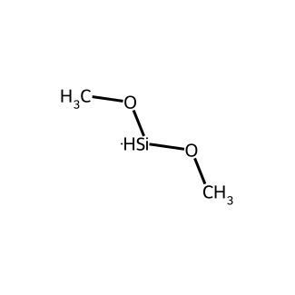 CO[SiH]OC